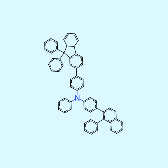 C1=CC2c3ccc(-c4ccc(N(c5ccccc5)c5ccc(-c6ccc7ccccc7c6-c6ccccc6)cc5)cc4)cc3C(c3ccccc3)(c3ccccc3)C2C=C1